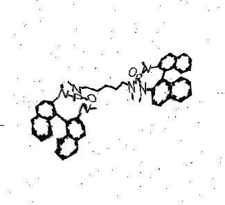 CN(CCCCCN(C)P1(=O)N(C)c2ccc3ccccc3c2-c2c(ccc3ccccc23)N1C)P1(=O)N(C)c2ccc3ccccc3c2-c2c(ccc3ccccc23)N1C